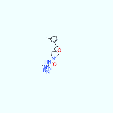 Cc1cccc(C2COC3(CCN(C(=O)Nc4nnnn4C)CC3)C2)c1